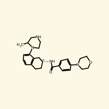 CC1CNCCN1c1cccc2c1C[C@H](NC(=O)c1ccc(N3CCOCC3)cc1)CC2